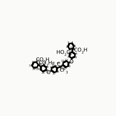 O=C(O)C1C=CC=CC1(C(=O)O)c1ccc(Oc2ccc(C(c3ccc(Oc4ccc(C5(C(=O)O)C=CC=CC5C(=O)O)cc4)cc3)(C(F)(F)F)C(F)(F)F)cc2)cc1